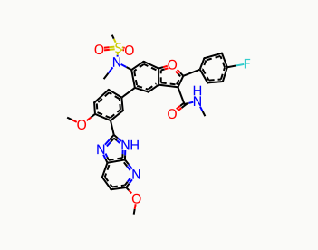 CNC(=O)c1c(-c2ccc(F)cc2)oc2cc(N(C)S(C)(=O)=O)c(-c3ccc(OC)c(-c4nc5ccc(OC)nc5[nH]4)c3)cc12